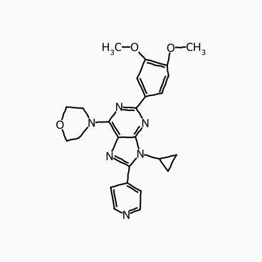 COc1ccc(-c2nc(N3CCOCC3)c3nc(-c4ccncc4)n(C4CC4)c3n2)cc1OC